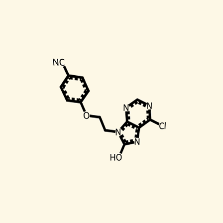 N#Cc1ccc(OCCn2c(O)nc3c(Cl)ncnc32)cc1